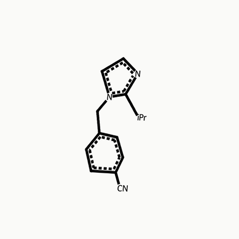 CC(C)c1nccn1Cc1ccc(C#N)cc1